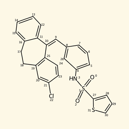 O=S(=O)(Nc1cccc(C=C2c3ccccc3CCc3cc(Cl)ccc32)c1)c1cccs1